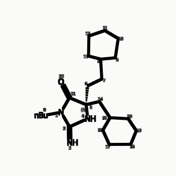 CCCCN1C(=N)N[C@](CCC2CCCCC2)(CC2CCCCC2)C1=O